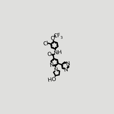 O=C(Nc1ccc(OC(F)(F)F)c(Cl)c1)c1cnc(N2CCC(O)C2)c(-c2cncnc2)c1